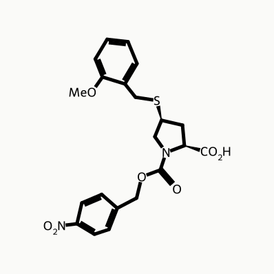 COc1ccccc1CS[C@H]1C[C@@H](C(=O)O)N(C(=O)OCc2ccc([N+](=O)[O-])cc2)C1